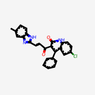 Cc1ccc2[nH]c(C=CC(=O)c3c(-c4ccccc4)c4cc(Cl)ccc4[nH]c3=O)nc2c1